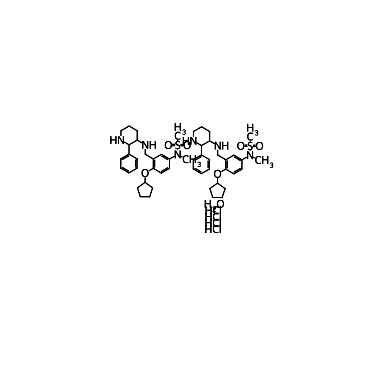 CN(c1ccc(OC2CCCC2)c(CNC2CCCNC2c2ccccc2)c1)S(C)(=O)=O.CN(c1ccc(OC2CCCC2)c(CNC2CCCNC2c2ccccc2)c1)S(C)(=O)=O.Cl.Cl.Cl.Cl.O